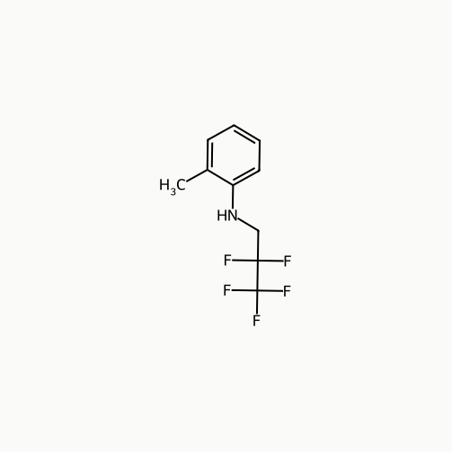 Cc1ccccc1NCC(F)(F)C(F)(F)F